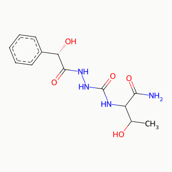 CC(O)C(NC(=O)NNC(=O)[C@@H](O)c1ccccc1)C(N)=O